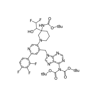 CC(C)(C)OC(=O)NC1(C(O)C(F)F)CCCN(c2cnc(-c3ccc(F)c(F)c3F)cc2Cn2cnc3c(N(C(=O)OC(C)(C)C)C(=O)OC(C)(C)C)ncnc32)C1